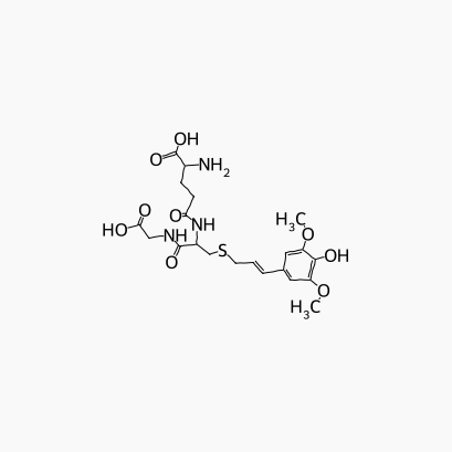 COc1cc(/C=C/CSCC(NC(=O)CCC(N)C(=O)O)C(=O)NCC(=O)O)cc(OC)c1O